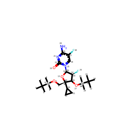 CC(C)(C)[Si](C)(C)OC[C@@]1(C2CC2)O[C@@H](n2cc(F)c(N)nc2=O)[C@@H](F)C1O[Si](C)(C)C(C)(C)C